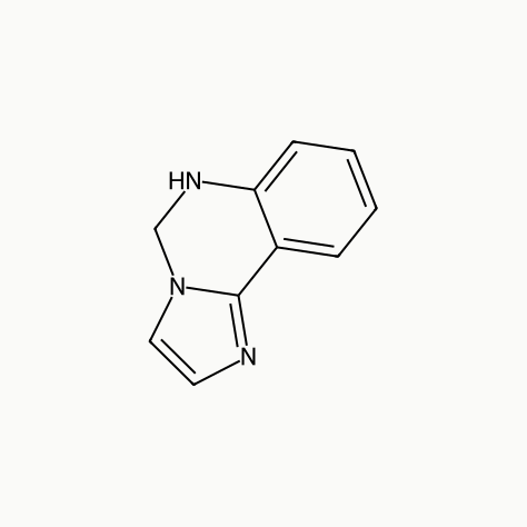 c1ccc2c(c1)NCn1ccnc1-2